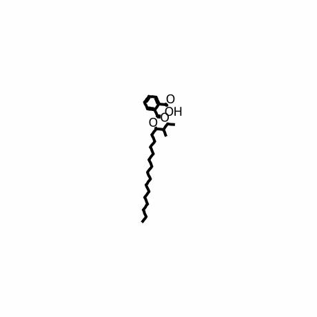 CCCCCCCCCCCCCCCC(OC(=O)c1ccccc1C(=O)O)C(C)CC